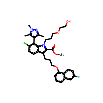 Cc1nn(C)c(C)c1-c1c(Cl)ccc2c(CCCOc3cccc4cc(F)ccc34)c(C(=O)OC(C)(C)C)n(CCCOCCO)c12